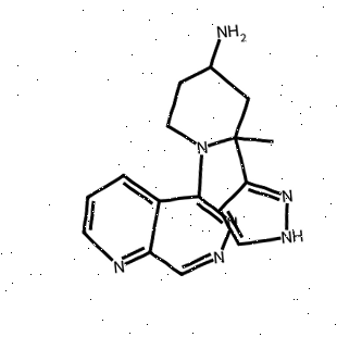 CC1(c2cc[nH]n2)CC(N)CCN1c1nncc2ncccc12